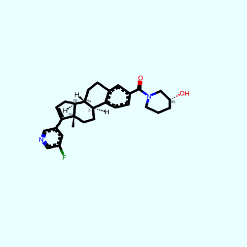 C[C@]12CC[C@@H]3c4ccc(C(=O)N5CCC[C@@H](O)C5)cc4CC[C@H]3[C@@H]1CC=C2c1cncc(F)c1